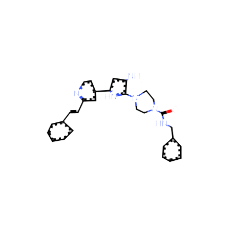 Nc1cc(-c2ccnc(/C=C/c3ccccc3)c2)[nH]c1N1CCN(C(=O)NCc2ccccc2)CC1